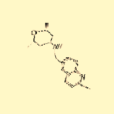 Cc1ccc2cc(CNC3C[C@H](C)O[C@@H](C)C3)ccc2n1